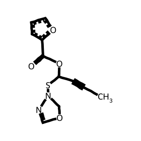 CC#CC(OC(=O)c1ccco1)SN1COC=N1